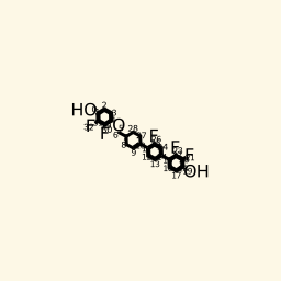 Oc1ccc(OCC2CC=C(c3ccc(-c4ccc(O)c(F)c4F)cc3F)CC2)c(F)c1F